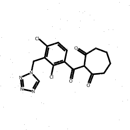 O=C1CCCCC(=O)C1C(=O)c1ccc(Cl)c(Cn2cnnn2)c1Cl